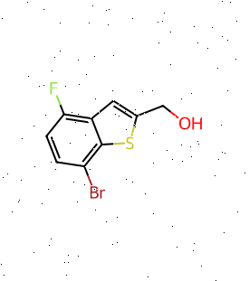 OCc1cc2c(F)ccc(Br)c2s1